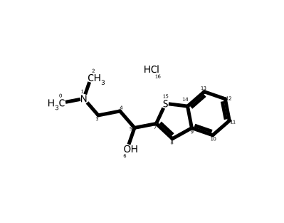 CN(C)CCC(O)c1cc2ccccc2s1.Cl